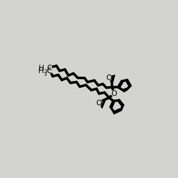 CCCCCCCCCCCCCC(OC(CCCCCCCCCCCCC)(c1ccccc1)C1CO1)(c1ccccc1)C1CO1